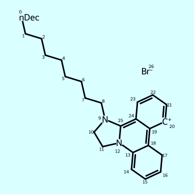 CCCCCCCCCCCCCCCCCCN1CCN2C3=CC=CCC3=C3[C+]=CC=CC3=C12.[Br-]